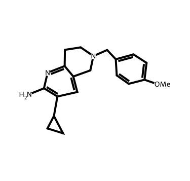 COc1ccc(CN2CCc3nc(N)c(C4CC4)cc3C2)cc1